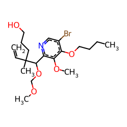 C=CC(C)(CCCO)C(OCOC)c1ncc(Br)c(OCCCC)c1OC